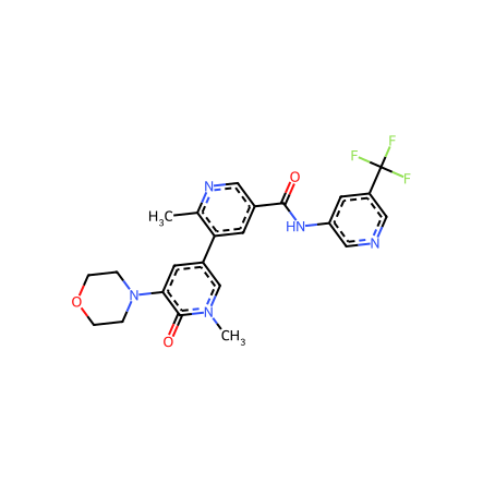 Cc1ncc(C(=O)Nc2cncc(C(F)(F)F)c2)cc1-c1cc(N2CCOCC2)c(=O)n(C)c1